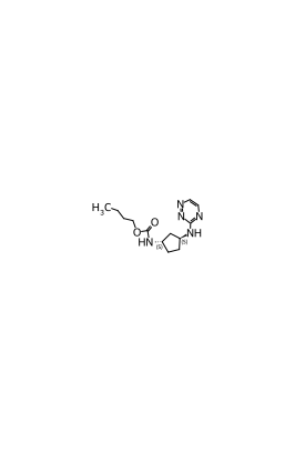 CCCCOC(=O)N[C@H]1CC[C@H](Nc2nccnn2)C1